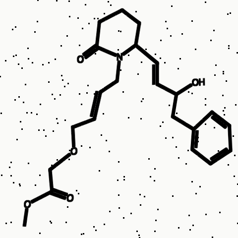 COC(=O)COCC=CCN1C(=O)CCCC1C=CC(O)Cc1ccccc1